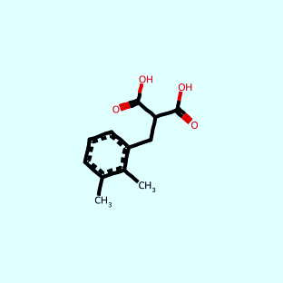 Cc1cccc(CC(C(=O)O)C(=O)O)c1C